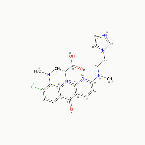 CN(C)c1c(Cl)ccc2c(=O)c3ccc(N(C)CCn4ccnc4)nc3n(CC(=O)O)c12